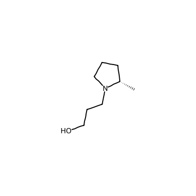 C[C@H]1CCCN1CCCO